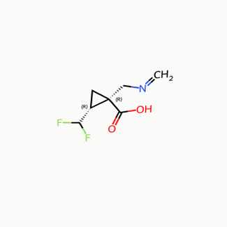 C=NC[C@@]1(C(=O)O)C[C@H]1C(F)F